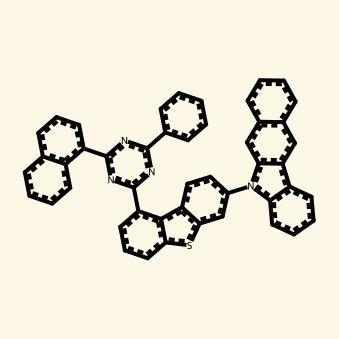 c1ccc(-c2nc(-c3cccc4ccccc34)nc(-c3cccc4sc5cc(-n6c7ccccc7c7cc8ccccc8cc76)ccc5c34)n2)cc1